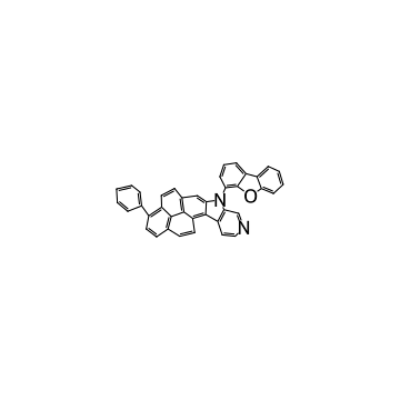 c1ccc(-c2ccc3ccc4c5c(ccc2c35)cc2c4c3ccncc3n2-c2cccc3c2oc2ccccc23)cc1